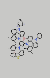 C#C/C=C\C(=C/C)n1c2ccccc2c2c3c(ccc21)B1c2ccc4c(c2N(c2c(C)cc(C)cc2C)c2cc(N(c5c(C)cc(C)cc5C)c5cccc6sc7c(c56)C=CCC7)cc(c21)N3c1c(C)cc(C)cc1C)c1ccccc1n4-c1ccccc1